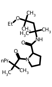 CCCC(C)(C)C(=O)N1CCCC1C(=O)NC(C)(C)CC(C)(C)OCC